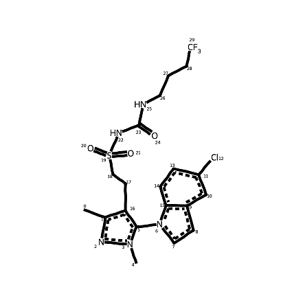 Cc1nn(C)c(-n2ccc3cc(Cl)ccc32)c1CCS(=O)(=O)NC(=O)NCCCC(F)(F)F